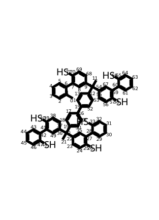 Cc1ccccc1-c1cc(C(C)(c2ccc(-c3ccc(C(C)(c4ccc(S)c(-c5ccccc5S)c4)c4ccc(S)c(-c5ccccc5S)c4)cc3)cc2)c2ccc(S)c(-c3ccccc3S)c2)ccc1S